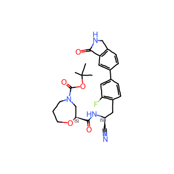 CC(C)(C)OC(=O)N1CCCO[C@H](C(=O)N[C@H](C#N)Cc2ccc(-c3ccc4c(c3)C(=O)NC4)cc2F)C1